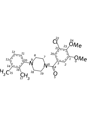 COc1cc(C(=O)N2CCN(c3cccc(C)c3C)CC2)cc(Cl)c1OC